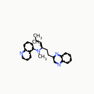 CC/C=C(/CCc1cnc2ccccc2n1)N(C)c1c(C)ccc2ncccc12